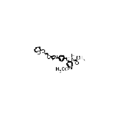 COc1cc(Oc2ccc(N3CC(OCCOC4CCCCO4)C3)cc2)c(NC(C)=O)cn1